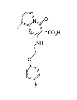 Cc1cccn2c(=O)c(C(=O)O)c(NCCOc3ccc(F)cc3)nc12